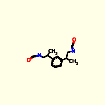 CC(CN=C=O)c1cccc(C(C)CN=C=O)c1